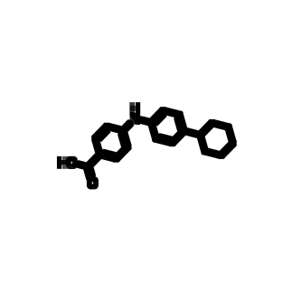 O=C(O)c1ccc(Nc2ccc(C3CCCCC3)cc2)cc1